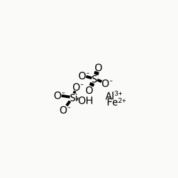 O=S(=O)([O-])[O-].[Al+3].[Fe+2].[O-][Si]([O-])([O-])O